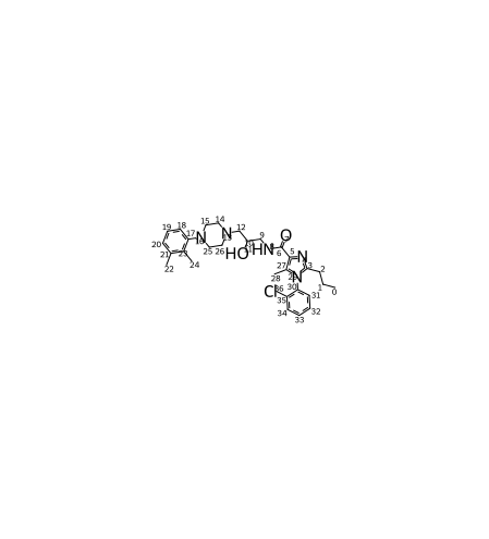 CCCc1nc(C(=O)NCC(O)CN2CCN(c3cccc(C)c3C)CC2)c(C)n1-c1ccccc1Cl